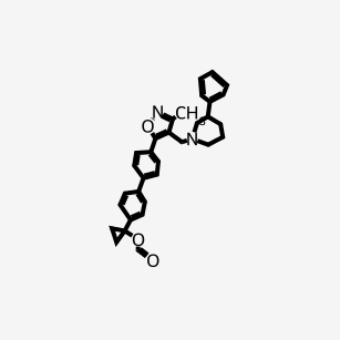 Cc1noc(-c2ccc(-c3ccc(C4(OC=O)CC4)cc3)cc2)c1CN1CCCC(c2ccccc2)C1